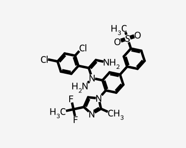 Cc1nc(C(C)(F)F)cn1-c1ccc(-c2cccc(S(C)(=O)=O)c2)cc1N(N)/C(=C\N)c1ccc(Cl)cc1Cl